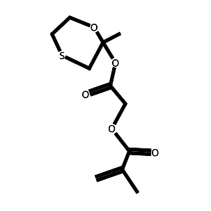 C=C(C)C(=O)OCC(=O)OC1(C)CSCCO1